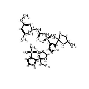 COC1=NN(NC(=O)NS(=O)(=O)c2ccsc2C2(F)OCC(C)O2)NC(C)=C1.NS(=O)(=O)c1ccsc1C1(CF)OCCO1